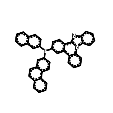 c1ccc2cc(P(c3ccc4c(ccc5ccccc54)c3)c3ccc4c(c3)c3ccccc3n3c5ccccc5nc43)ccc2c1